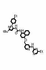 CCc1ccc(-n2nc(C(C)(C)C)cc2NC(=O)Nc2ccc(OCc3ccnc(Nc4cncc(CC)n4)c3)c3ccccc23)cc1